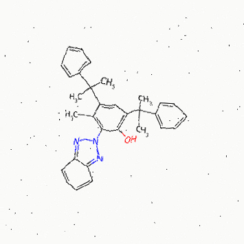 Cc1c(C(C)(C)c2ccccc2)cc(C(C)(C)c2ccccc2)c(O)c1-n1nc2ccccc2n1